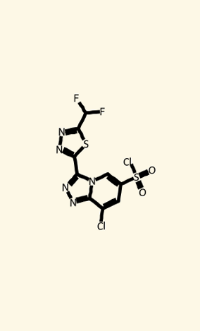 O=S(=O)(Cl)c1cc(Cl)c2nnc(-c3nnc(C(F)F)s3)n2c1